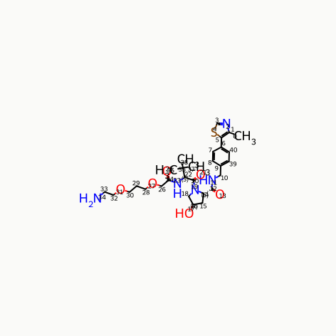 Cc1ncsc1-c1ccc(CNC(=O)[C@@H]2C[C@@H](O)CN2C(=O)[C@@H](NC(=O)COCCCOCCN)C(C)(C)C)cc1